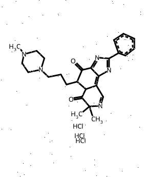 CN1CCN(CCCC2C(=O)C3=NC(c4ccccc4)=NC3=C3C=NC(C)(C)C(=O)C32)CC1.Cl.Cl.Cl